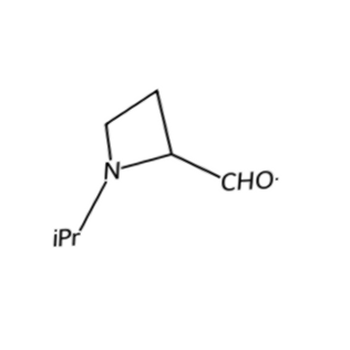 CC(C)N1CCC1[C]=O